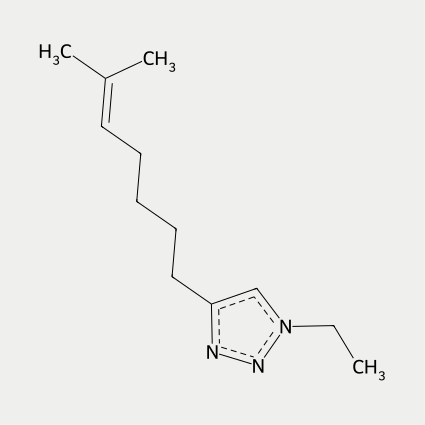 CCn1cc(CCCCC=C(C)C)nn1